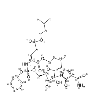 CC(C)CCOC(=O)CC[C@H](NP(=O)(OC[C@H]1OC[C@@](O)(n2cnc(C(N)=O)c2O)[C@@H]1O)Oc1ccccc1)C(=O)OCCC(C)C